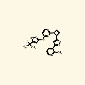 Cc1ncccc1-c1cc(C2CCN2c2nccc(Nc3cc(C(C)(C)C)[nH]n3)n2)on1